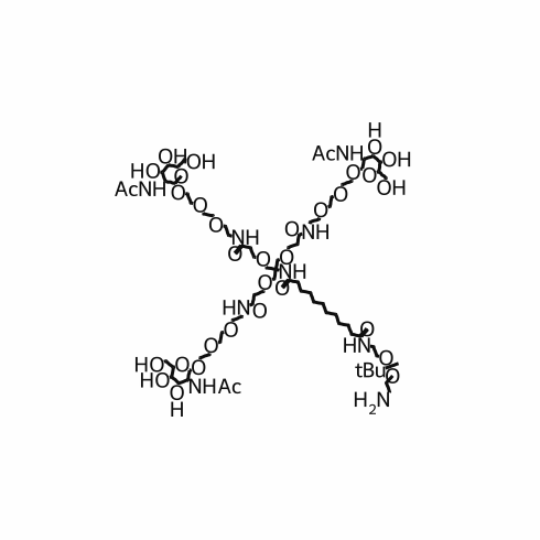 CC(=O)NC1C(OCCOCCOCCNC(=O)CCOCC(COCCC(=O)NCCOCCOCCOC2OC(CO)C(O)C(O)C2NC(C)=O)(COCCC(=O)NCCOCCOCCOC2OC(CO)C(O)C(O)C2NC(C)=O)NC(=O)CCCCCCCCCCC(=O)NCCOC(C)(OCCN)C(C)(C)C)OC(CO)C(O)C1O